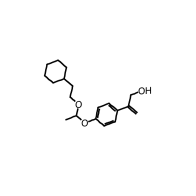 C=C(CO)c1ccc(OC(C)OCCC2CCCCC2)cc1